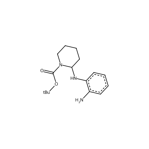 CC(C)(C)OC(=O)N1CCCCC1Nc1ccccc1N